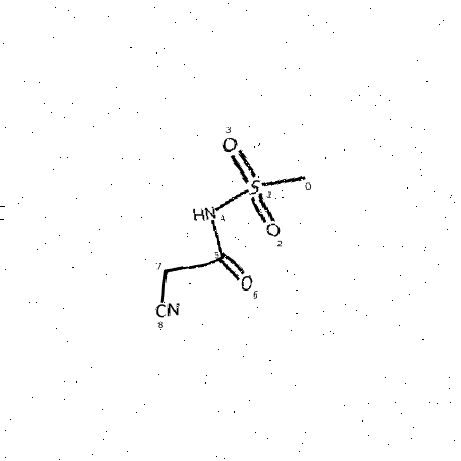 CS(=O)(=O)NC(=O)CC#N